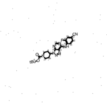 CC(C)(C)OC(=O)N1CCC(n2nnc3c(Nc4ccc(C#N)cc4F)ncnc32)CC1